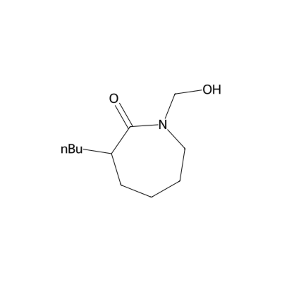 CCCCC1CCCCN(CO)C1=O